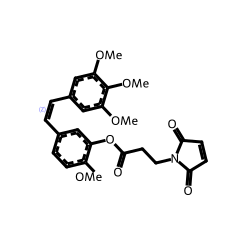 COc1ccc(/C=C\c2cc(OC)c(OC)c(OC)c2)cc1OC(=O)CCN1C(=O)C=CC1=O